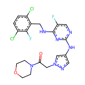 O=C(Cn1cc(Nc2ncc(F)c(NCc3c(Cl)ccc(Cl)c3F)n2)cn1)N1CCOCC1